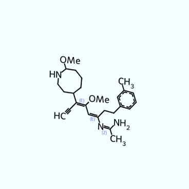 C#C\C(=C(/C=C(CCc1cccc(C)c1)/N=C(/C)N)OC)C1CCCC(OC)NCC1